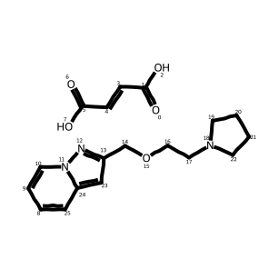 O=C(O)C=CC(=O)O.c1ccn2nc(COCCN3CCCC3)cc2c1